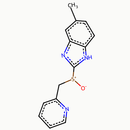 Cc1ccc2[nH]c([S+]([O-])Cc3ccccn3)nc2c1